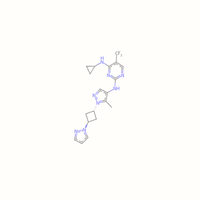 Cc1c(Nc2ncc(C(F)(F)F)c(NC3CC3)n2)cnn1[C@H]1C[C@H](n2cccn2)C1